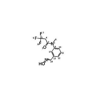 CN(C(=O)CC(F)(F)F)c1cccc(C=NO)c1